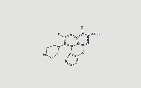 O=C(O)c1cc2c3c(c(N4CCNCC4)c(F)cn3c1=O)-c1ccccc1O2